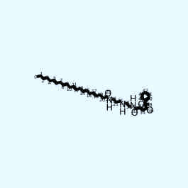 CCC=CCC=CCC=CCC=CCC=CCC=CCCC(=O)NCCCNCCNC(=O)C1=CC(=O)C(C)(c2ccccc2)O1